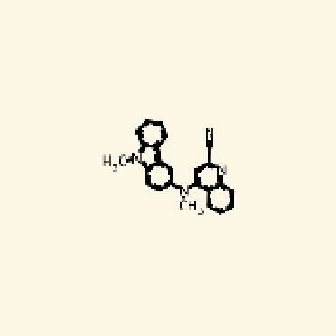 CN(c1ccc2c(c1)c1ccccc1n2C)c1cc(C#N)nc2ccccc12